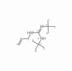 C=CCN/C(=N/C(C)(C)C)NC(C)(C)C